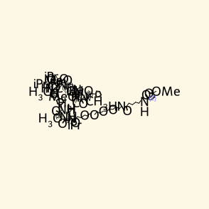 CC[C@H](C)[C@@H]([C@@H](CC(=O)N1CCC[C@H]1[C@H](OC)[C@@H](C)C(=O)N[C@H](C)[C@@H](O)c1ccccc1)OC)N(C)C(=O)[C@@H](NC(=O)[C@H](C(C)C)N(C)C(=O)OCc1ccc(NC(=O)[C@H](C)NC(=O)[C@@H](NC(=O)CCOCCOCCOCCOCCNC(=O)CCCCCNC(=O)/C=C\C(=O)OC)C(C)C)cc1)C(C)C